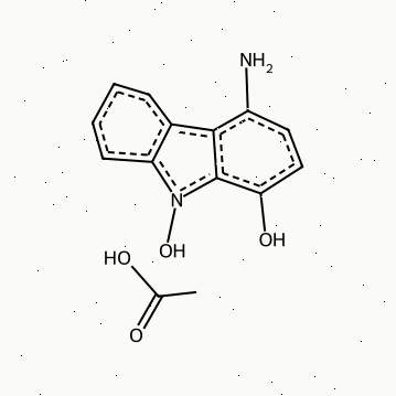 CC(=O)O.Nc1ccc(O)c2c1c1ccccc1n2O